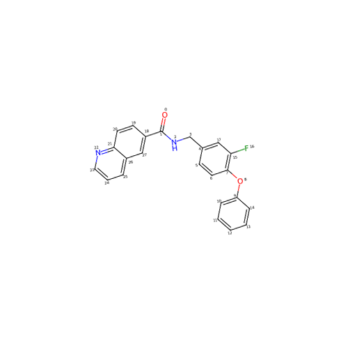 O=C(NCc1ccc(Oc2ccccc2)c(F)c1)c1ccc2ncccc2c1